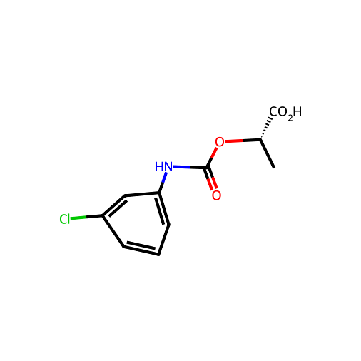 C[C@H](OC(=O)Nc1cccc(Cl)c1)C(=O)O